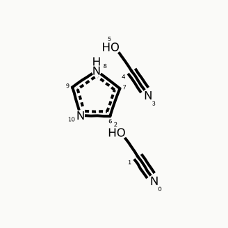 N#CO.N#CO.c1c[nH]cn1